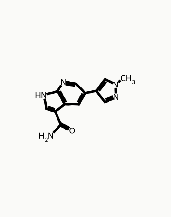 Cn1cc(-c2cnc3[nH]cc(C(N)=O)c3c2)cn1